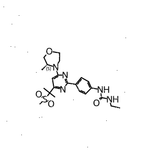 CCNC(=O)Nc1ccc(-c2nc(N3CCOC[C@@H]3C)cc(C(C)(C)S(C)(=O)=O)n2)cc1